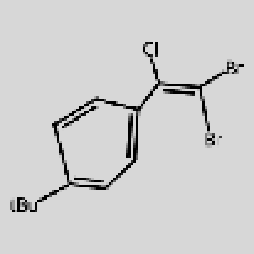 CC(C)(C)c1ccc(C(Cl)=C(Br)Br)cc1